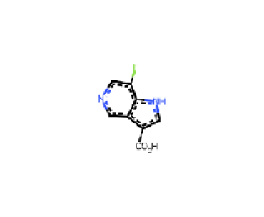 O=C(O)c1c[nH]c2c(F)cncc12